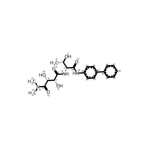 C[C@H](O)[C@@H](NC(=O)[C@H](O)[C@@H](O)C(=O)N(C)C)C(=O)Nc1ccc(-c2ccccc2)cc1